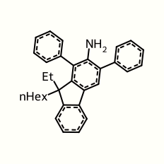 CCCCCCC1(CC)c2ccccc2-c2cc(-c3ccccc3)c(N)c(-c3ccccc3)c21